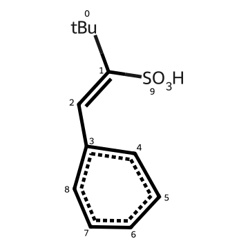 CC(C)(C)C(=Cc1ccccc1)S(=O)(=O)O